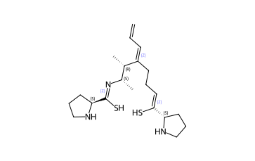 C=C/C=C(/CC/C=C(\S)[C@@H]1CCCN1)[C@@H](C)[C@H](C)/N=C(\S)[C@@H]1CCCN1